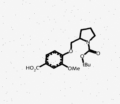 COc1cc(C(=O)O)ccc1OCC1CCCN1C(=O)OC(C)(C)C